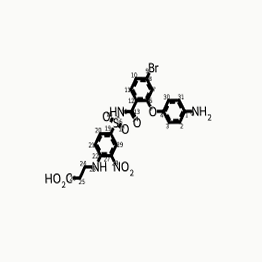 Nc1ccc(Oc2cc(Br)ccc2C(=O)NS(=O)(=O)c2ccc(NCCC(=O)O)c([N+](=O)[O-])c2)cc1